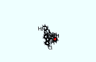 N#C[C@@H](C[C@@H]1CCCNC1=O)NC(=O)[C@H]1[C@H]2CC[C@H](CC2(F)F)N1C(=O)C1(O)c2ccccc2-c2ccc(Cl)cc21